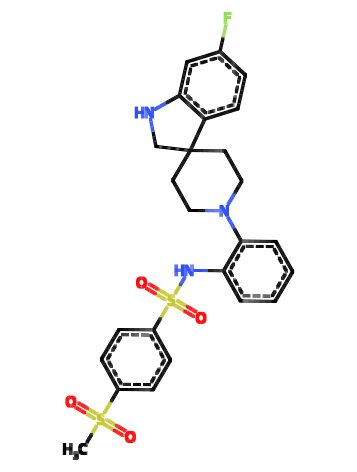 CS(=O)(=O)c1ccc(S(=O)(=O)Nc2ccccc2N2CCC3(CC2)CNc2cc(F)ccc23)cc1